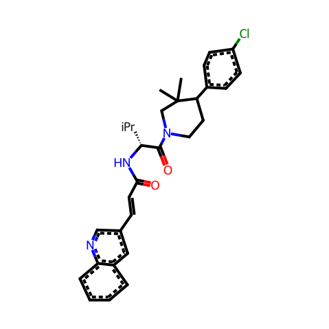 CC(C)[C@@H](NC(=O)/C=C/c1cnc2ccccc2c1)C(=O)N1CCC(c2ccc(Cl)cc2)C(C)(C)C1